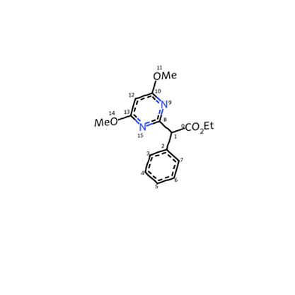 CCOC(=O)C(c1ccccc1)c1nc(OC)cc(OC)n1